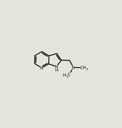 CN(C)Cc1[c]c2cccnc2[nH]1